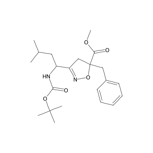 COC(=O)C1(Cc2ccccc2)CC(C(CC(C)C)NC(=O)OC(C)(C)C)=NO1